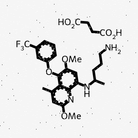 COc1cc(C)c2c(Oc3cccc(C(F)(F)F)c3)c(OC)cc(NC(C)CCCN)c2n1.O=C(O)CCC(=O)O